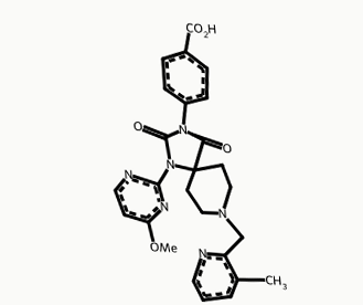 COc1ccnc(N2C(=O)N(c3ccc(C(=O)O)cc3)C(=O)C23CCN(Cc2ncccc2C)CC3)n1